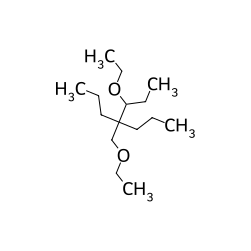 CCCC(CCC)(COCC)C(CC)OCC